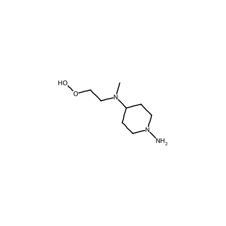 CN(CCOO)C1CCN(N)CC1